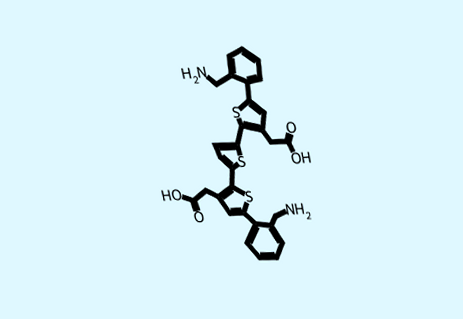 NCc1ccccc1-c1cc(CC(=O)O)c(-c2ccc(-c3sc(-c4ccccc4CN)cc3CC(=O)O)s2)s1